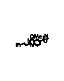 COc1nc(CCC(C)C)nc2ccc(-c3cnco3)cc12